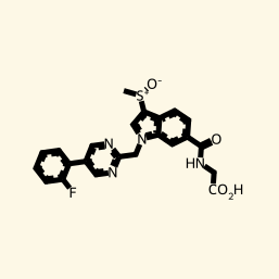 C[S+]([O-])c1cn(Cc2ncc(-c3ccccc3F)cn2)c2cc(C(=O)NCC(=O)O)ccc12